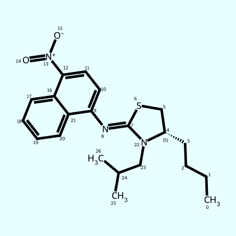 CCCC[C@H]1CSC(=Nc2ccc([N+](=O)[O-])c3ccccc23)N1CC(C)C